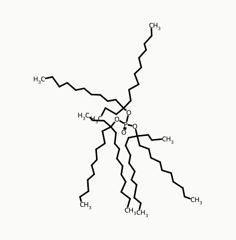 CCCCCCCCCCC(CCC)(CCCCCCCCCC)OP(=O)(OC(CCC)(CCCCCCCCCC)CCCCCCCCCC)OC(CCC)(CCCCCCCCCC)CCCCCCCCCC